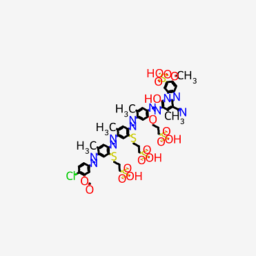 COc1cc2nc3c(C#N)c(C)c(N=Nc4cc(C)c(N=Nc5cc(C)c(N=Nc6cc(C)c(N=Nc7ccc(Cl)c(OC=O)c7)cc6SCCCS(=O)(=O)O)cc5SCCCS(=O)(=O)O)cc4OCCCS(=O)(=O)O)c(O)n3c2cc1S(=O)(=O)O